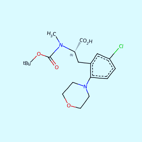 CN(C(=O)OC(C)(C)C)[C@@H](Cc1cc(Cl)ccc1N1CCOCC1)C(=O)O